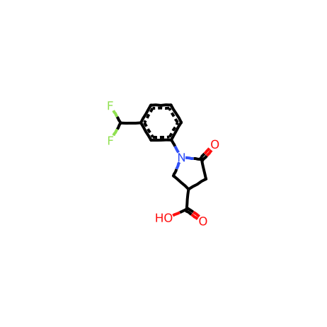 O=C(O)C1CC(=O)N(c2cccc(C(F)F)c2)C1